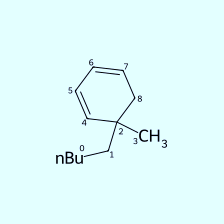 CCCCCC1(C)C=CC=CC1